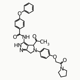 CC(=O)C1c2c(n[nH]c2NC(=O)c2ccc(Oc3ccccc3)cc2)CN1c1ccc(OCC(=O)N2CCCC2)cc1